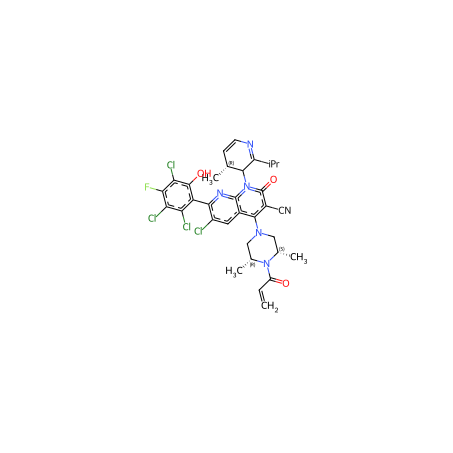 C=CC(=O)N1[C@H](C)CN(c2c(C#N)c(=O)n(C3C(C(C)C)=NC=C[C@H]3C)c3nc(-c4c(O)c(Cl)c(F)c(Cl)c4Cl)c(Cl)cc23)C[C@@H]1C